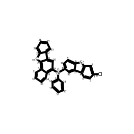 Clc1ccc2c(c1)sc1ccc(N(c3ccccc3)c3cc4c5ccccc5sc4c4ccccc34)cc12